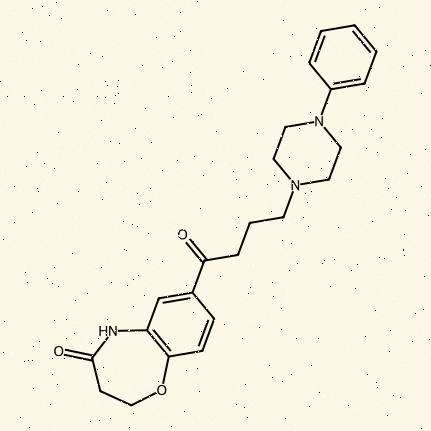 O=C1CCOc2ccc(C(=O)CCCN3CCN(c4ccccc4)CC3)cc2N1